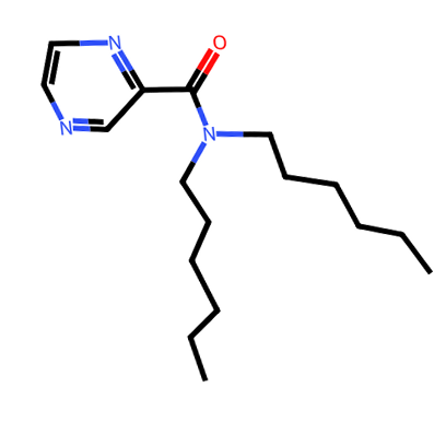 CCCCCCN(CCCCCC)C(=O)c1cnccn1